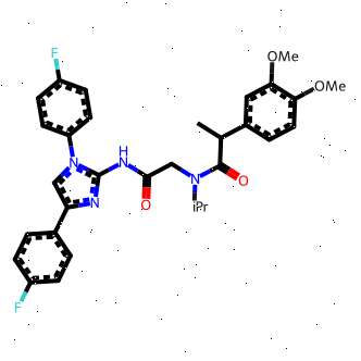 COc1ccc(C(C)C(=O)N(CC(=O)Nc2nc(-c3ccc(F)cc3)cn2-c2ccc(F)cc2)C(C)C)cc1OC